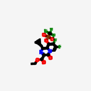 CCOC(=O)c1nc(C2CC2)c2c(OS(=O)(=O)C(F)(F)F)c(F)c(F)cn2c1=O